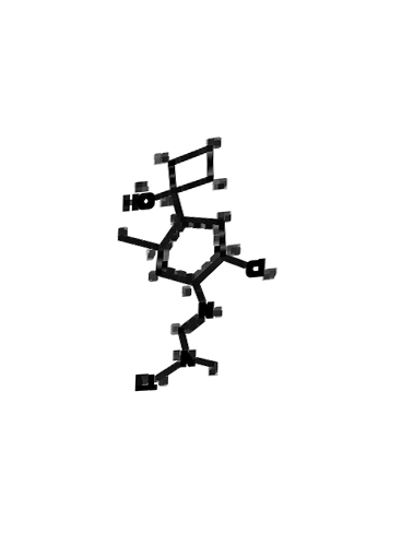 CCN(C)C=Nc1cc(C)c(C2(O)CCC2)cc1Cl